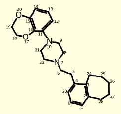 c1cc2c(c(CCN3CCN(c4cccc5c4OCCO5)CC3)c1)CCCCC2